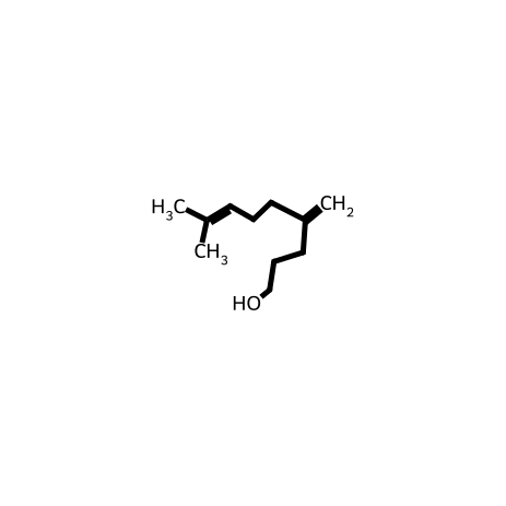 C=C(CCC=C(C)C)CCCO